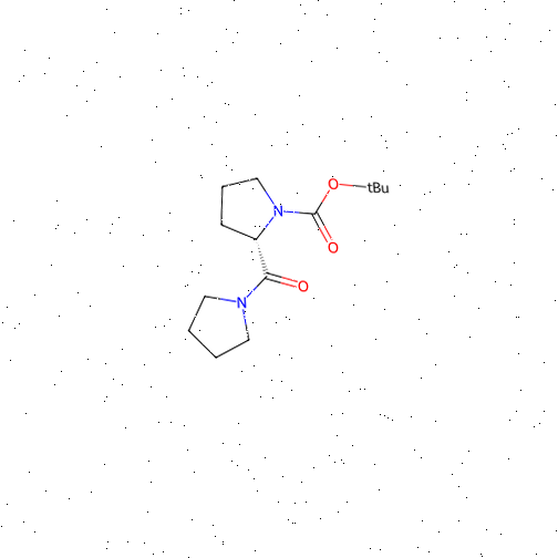 CC(C)(C)OC(=O)N1CCC[C@H]1C(=O)N1CCCC1